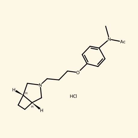 CC(=O)N(C)c1ccc(OCCCN2C[C@H]3CC[C@H]3C2)cc1.Cl